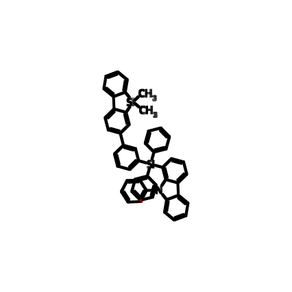 C[Si]1(C)c2ccccc2-c2ccc(-c3cccc([Si](c4ccccc4)(c4ccccc4)c4cccc5c6ccccc6n(-c6ccccc6)c45)c3)cc21